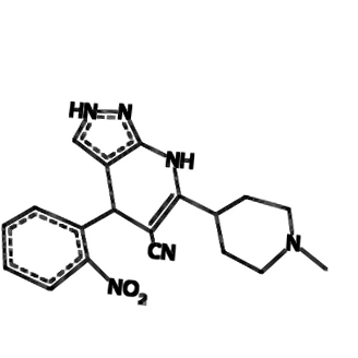 CN1CCC(C2=C(C#N)C(c3ccccc3[N+](=O)[O-])c3c[nH]nc3N2)CC1